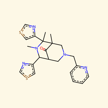 CN1C(c2cscn2)C2CN(Cc3ccccn3)CC(C)(C2=O)C1(C)c1cscn1